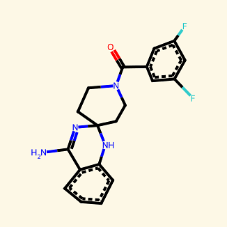 NC1=NC2(CCN(C(=O)c3cc(F)cc(F)c3)CC2)Nc2ccccc21